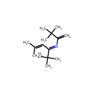 C=C(/N=C(\C=C(C)C)C(C)(C)C)C(C)(C)C